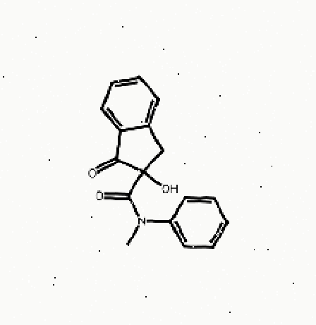 CN(C(=O)C1(O)Cc2ccccc2C1=O)c1ccccc1